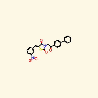 O=C(CN1C(=O)SC(=Cc2cccc([N+](=O)[O-])c2)C1=O)c1ccc(-c2ccccc2)cc1